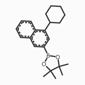 CC1(C)OB(c2cc(C3CCCCC3)c3ccccc3c2)OC1(C)C